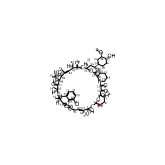 CO[C@H]1C[C@@H]2CC[C@@H](C)[C@@](O)(O2)C(=O)C(=O)N2CCCC[C@H]2C(=O)O[C@H]([C@H](C)C[C@@H]2CC[C@@H](O)[C@H](OC)C2)CC(=O)[C@H](C)/C=C(\C)[C@@H](O)[C@@H](OC)C(=O)[C@H](C)C[C@H](C)C2CCC(/C=C/1C)ON2c1c(Cl)cccc1Cl